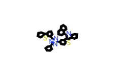 c1ccc(-c2nc(-c3ccc4sc5c6ccccc6nc(-c6cccc7ccccc67)c5c4c3)nc(-c3cccc4c3sc3ccccc34)n2)cc1